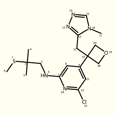 CSC(C)(C)CNc1cc(C2(Cc3nncn3C)COC2)cc(Cl)n1